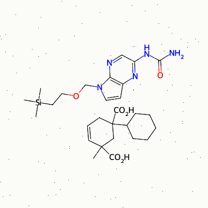 CC1(C(=O)O)C=CCC(C(=O)O)(C2CCCCC2)C1.C[Si](C)(C)CCOCn1ccc2nc(NC(N)=O)cnc21